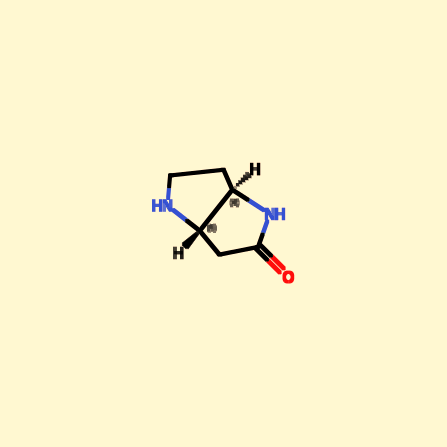 O=C1C[C@@H]2NCC[C@H]2N1